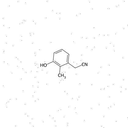 Cc1c(O)cccc1CC#N